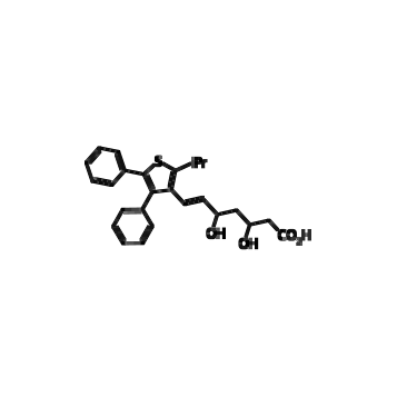 CC(C)c1sc(-c2ccccc2)c(-c2ccccc2)c1C=CC(O)CC(O)CC(=O)O